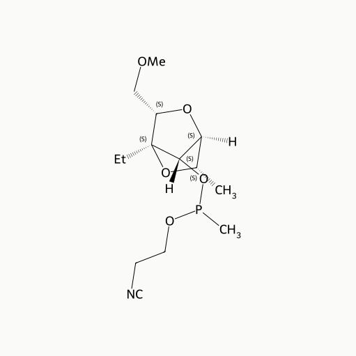 [C-]#[N+]CCOP(C)O[C@H]1[C@H]2O[C@@H](COC)[C@]1(CC)O[C@H]2C